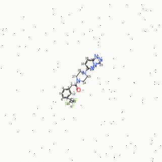 O=C(Cc1cccc([Si](F)(F)F)c1)N1CCN(c2ccc3nncn3n2)CC1